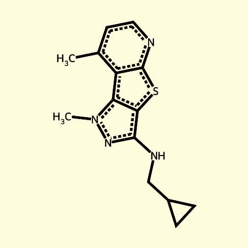 Cc1ccnc2sc3c(NCC4CC4)nn(C)c3c12